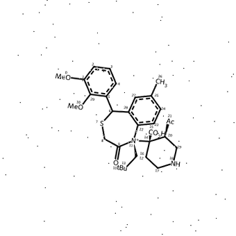 COc1cccc(C2SCC(=O)[N@@+](CC(C)(C)C)([C@@]3(C(=O)O)CCNC[C@@H]3C(C)=O)c3ccc(C)cc32)c1OC